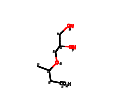 CC(CC(=O)O)OCC(O)CO